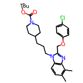 Cc1ccc2c(nc(COc3ccc(Cl)cc3)n2CCCC2CCN(C(=O)OC(C)(C)C)CC2)c1C